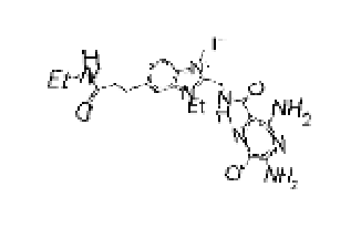 CCNC(=O)CCc1ccc2c(c1)n(CC)c(CNC(=O)c1nc(Cl)c(N)nc1N)[n+]2C.[I-]